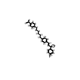 C=C(C)c1ccc(CCCCCCc2ccc(C=CC(=O)c3ccc(F)cc3)cc2)cc1